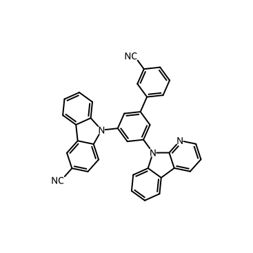 N#Cc1cccc(-c2cc(-n3c4ccccc4c4cc(C#N)ccc43)cc(-n3c4ccccc4c4cccnc43)c2)c1